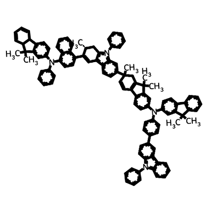 C[C@@H]1Cc2c(c3ccc(C4(C)C=CC5=C(C4)C(C)(C)c4cc(N(c6ccc(-c7ccc8c(c7)c7ccccc7n8-c7ccccc7)cc6)c6ccc7c(c6)C(C)(C)c6ccccc6-7)ccc45)cc3n2-c2ccccc2)C=C1c1ccc(N(c2ccccc2)c2ccc3c(c2)C(C)(C)C2C=CC=CC32)c2ccccc12